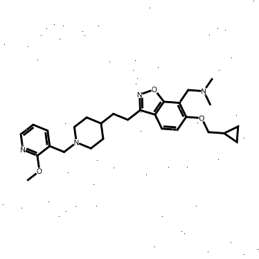 COc1ncccc1CN1CCC(CCc2noc3c(CN(C)C)c(OCC4CC4)ccc23)CC1